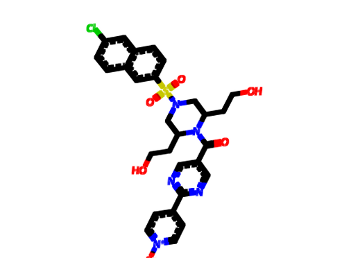 O=C(c1cnc(-c2cc[n+]([O-])cc2)nc1)N1C(CCO)CN(S(=O)(=O)c2ccc3cc(Cl)ccc3c2)CC1CCO